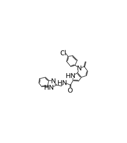 C=C1C=Cc2cc(C(=O)NCc3nc4ccccc4[nH]3)[nH]c2N1c1ccc(Cl)cc1